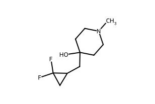 CN1CCC(O)(CC2CC2(F)F)CC1